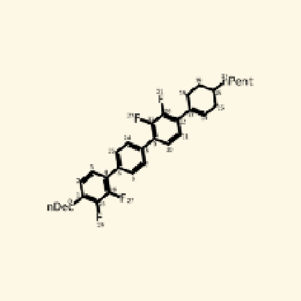 CCCCCCCCCCc1ccc(-c2ccc(-c3ccc(C4=CCC(CCCCC)CC4)c(F)c3F)cc2)c(F)c1F